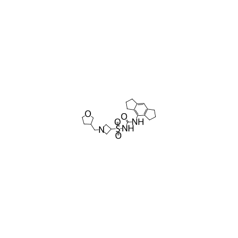 O=C(Nc1c2c(cc3c1CCC3)CCC2)NS(=O)(=O)C1CN(CC2CCOC2)C1